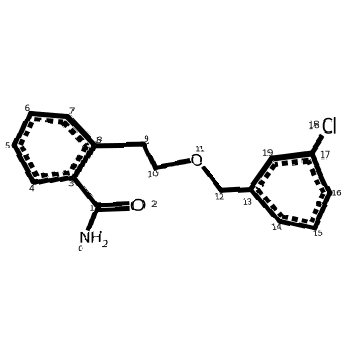 NC(=O)c1ccccc1[CH]COCc1cccc(Cl)c1